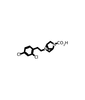 O=C(O)N1CC2CC1CN2CCc1ccc(Cl)cc1Cl